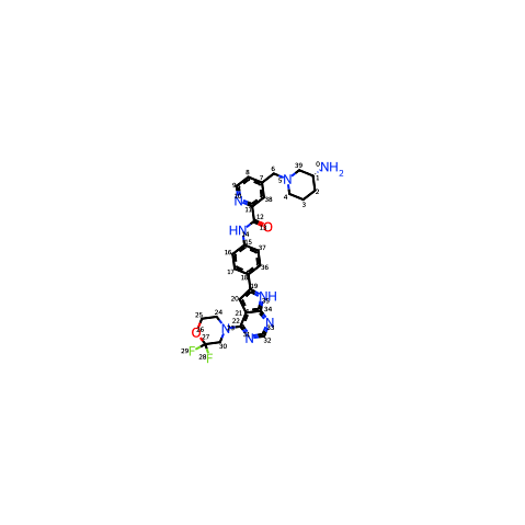 N[C@@H]1CCCN(Cc2ccnc(C(=O)Nc3ccc(-c4cc5c(N6CCOC(F)(F)C6)ncnc5[nH]4)cc3)c2)C1